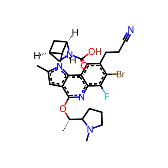 Cc1cc2c(O[C@@H](C)C3CCCN3C)nc3c(F)c(Br)c(CCC#N)cc3c2n1[C@H]1[C@@H]2C[C@H]1N(C(=O)O)C2